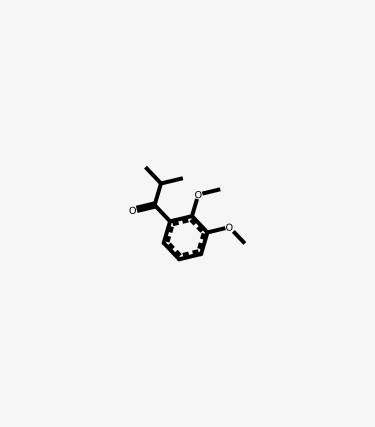 COc1cccc(C(=O)C(C)C)c1OC